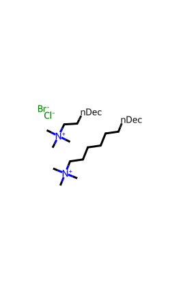 CCCCCCCCCCCCCCCC[N+](C)(C)C.CCCCCCCCCCCC[N+](C)(C)C.[Br-].[Cl-]